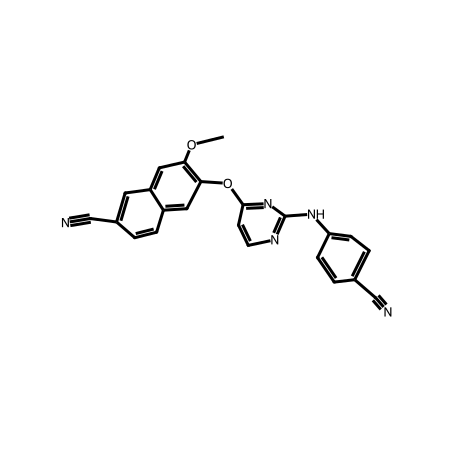 COc1cc2cc(C#N)ccc2cc1Oc1ccnc(Nc2ccc(C#N)cc2)n1